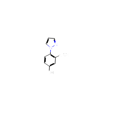 COc1cc(C)ccc1-n1cccn1